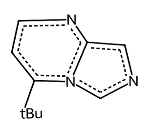 CC(C)(C)c1ccnc2cncn12